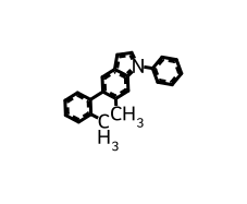 Cc1ccccc1-c1cc2ccn(-c3ccccc3)c2cc1C